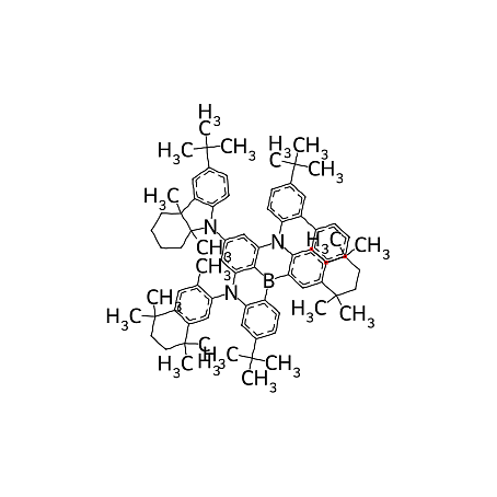 Cc1cc2c(cc1N1c3cc(C(C)(C)C)ccc3B3c4cc5c(cc4N(c4ccc(C(C)(C)C)cc4-c4ccccc4)c4cc(N6c7ccc(C(C)(C)C)cc7C7(C)CCCCC67C)cc1c43)C(C)(C)CCC5(C)C)C(C)(C)CCC2(C)C